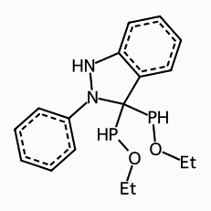 CCOPC1(POCC)c2ccccc2NN1c1ccccc1